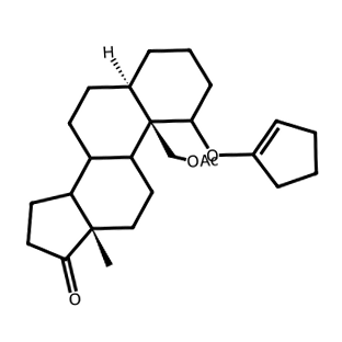 CC(=O)OC[C@]12C(OC3=CCCC3)CCC[C@@H]1CCC1C2CC[C@]2(C)C(=O)CCC12